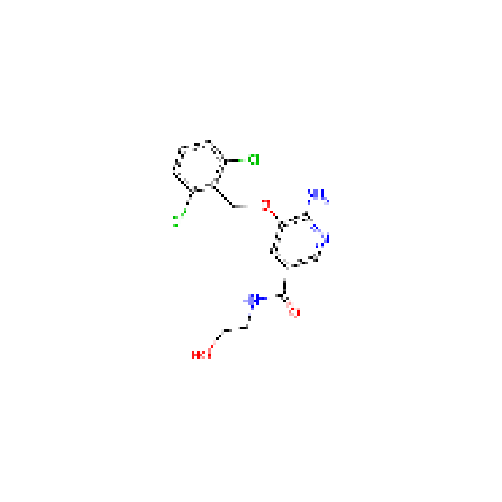 Nc1ncc(C(=O)NCCO)cc1OCc1c(Cl)cccc1Cl